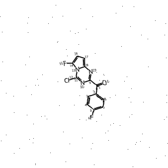 O=C(c1ccc(F)cc1)c1nc(Cl)n2c(F)ccc2n1